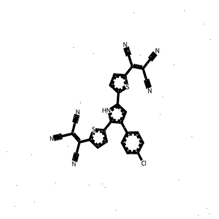 N#CC(C#N)=C(C#N)c1ccc(-c2cc(-c3ccc(Cl)cc3)c(-c3ccc(C(C#N)=C(C#N)C#N)s3)[nH]2)s1